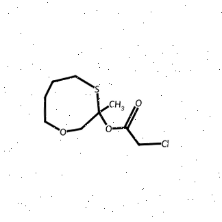 CC1(OC(=O)CCl)COCCCCS1